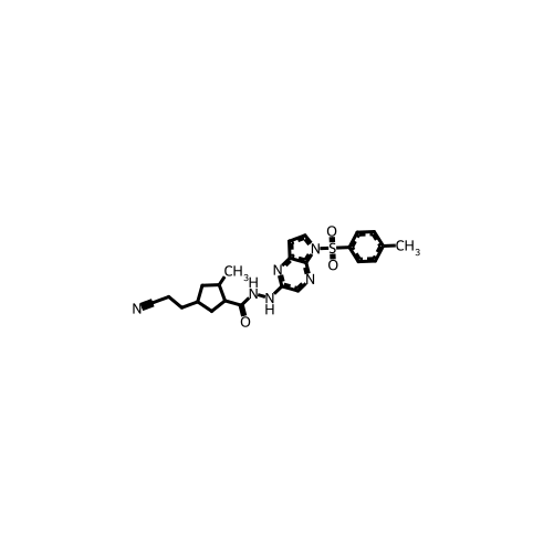 Cc1ccc(S(=O)(=O)n2ccc3nc(NNC(=O)C4CC(CCC#N)CC4C)cnc32)cc1